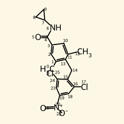 Cc1cc(C(=O)NC2CC2)cc(C)c1Cc1c(Cl)cc([N+](=O)[O-])cc1Cl